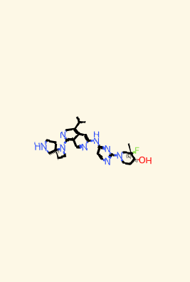 CC(C)c1cnc(N2CC[C@@]23CCNC3)c2cnc(Nc3ccnc(N4CC[C@@H](O)[C@@](C)(F)C4)n3)cc12